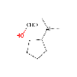 O=CO.[CH3][Al]([CH3])[CH]1CCCC1